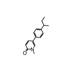 CCC(C)c1ccc(-c2ccc(=O)n(C)c2)cc1